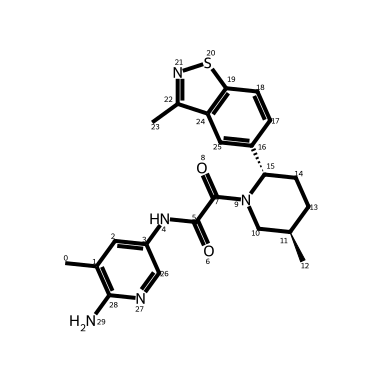 Cc1cc(NC(=O)C(=O)N2C[C@H](C)CC[C@H]2c2ccc3snc(C)c3c2)cnc1N